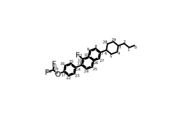 CCCC1CCC(c2ccc3c(F)c(-c4ccc(OC(F)F)cc4)ccc3c2)CC1